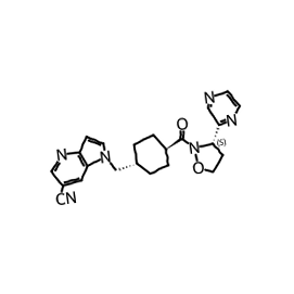 N#Cc1cnc2ccn(C[C@H]3CC[C@H](C(=O)N4OCC[C@H]4c4cnccn4)CC3)c2c1